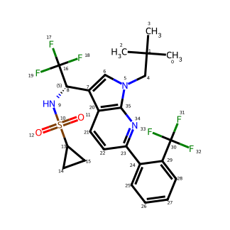 CC(C)(C)Cn1cc([C@H](NS(=O)(=O)C2CC2)C(F)(F)F)c2ccc(-c3ccccc3C(F)(F)F)nc21